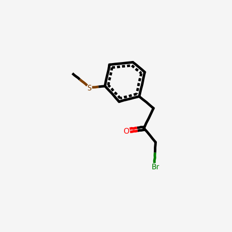 CSc1cccc(CC(=O)CBr)c1